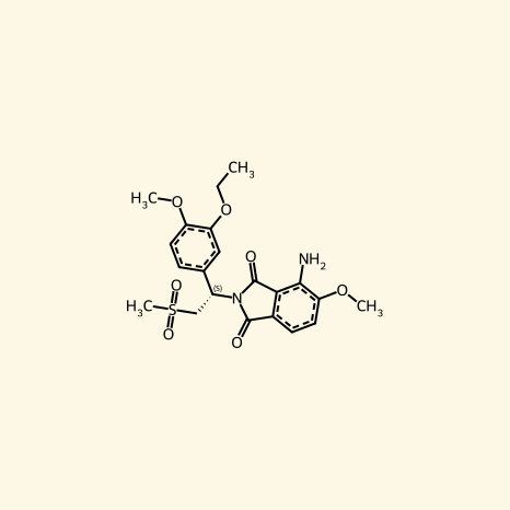 CCOc1cc([C@@H](CS(C)(=O)=O)N2C(=O)c3ccc(OC)c(N)c3C2=O)ccc1OC